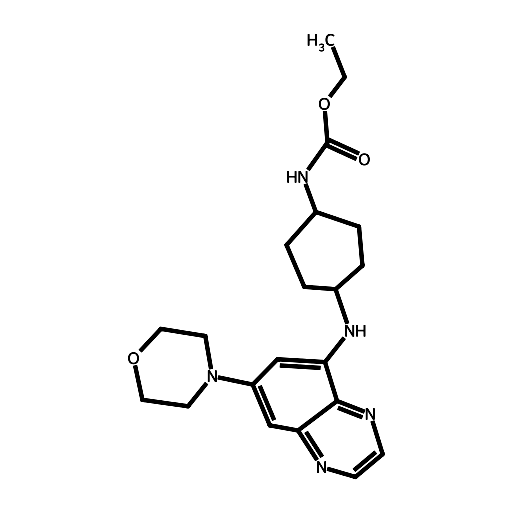 CCOC(=O)NC1CCC(Nc2cc(N3CCOCC3)cc3nccnc23)CC1